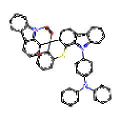 c1ccc(N(c2ccccc2)c2ccc(-n3c4ccccc4c4ccc5c(c43)Sc3ccccc3C53c4ccccc4-n4c5ccccc5c5cccc3c54)cc2)cc1